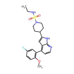 CCNS(=O)(=O)N1CCC(c2cc3c(-c4cc(F)ccc4OC)ccnc3[nH]2)CC1